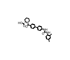 Cc1ccc(NC(=O)Nc2ccc(-c3ccc(C(=O)N4CCCC[C@H]4C(=O)O)cc3)cc2)c(C)c1